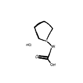 Cl.O=C(O)NN1CCCC1